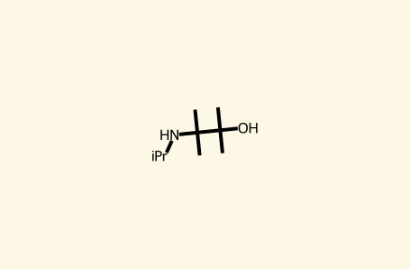 CC(C)NC(C)(C)C(C)(C)O